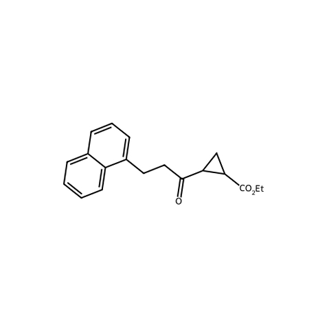 CCOC(=O)C1CC1C(=O)CCc1cccc2ccccc12